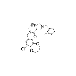 CC(C)CN(Cc1cc(Cl)c2c(c1)OCCCO2)C(=O)C1CCN(Cc2cccn2C)C1